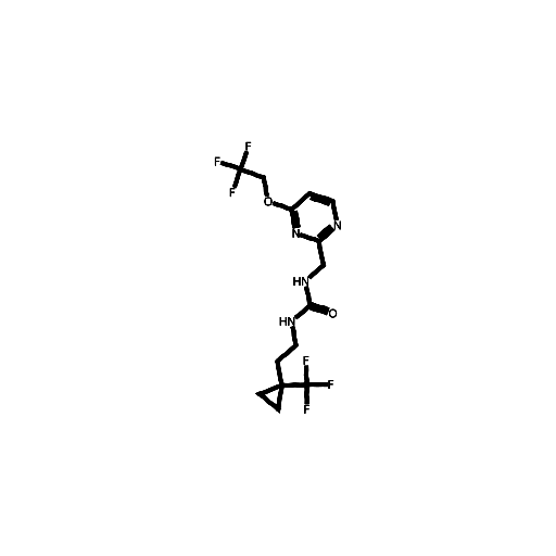 O=C(NCCC1(C(F)(F)F)CC1)NCc1nccc(OCC(F)(F)F)n1